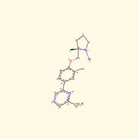 CC(=O)N1CCC[C@@]1(C)COc1ccc(-c2cncc(C(=O)O)n2)cc1C